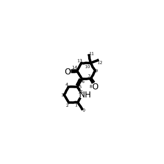 CC1CCCC(=C2C(=O)CC(C)(C)CC2=O)N1